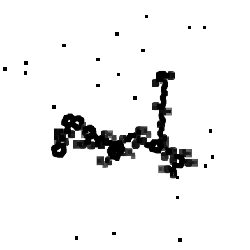 Cc1c(-c2ccc(N3CCc4cccc(C(=O)Nc5nc6ccccc6s5)c4C3)nc2C(=O)O)cnn1CC12CC3(C)CC(C)(C1)CC(OCCN(C)C(=O)OCc1ccc(NC(=O)O[C@@H]4O[C@H](C(=O)O)C[C@H](O)[C@H]4O)c(OCCOCCNC(=O)CCCCCN4C(=O)C=CC4=O)c1)(C3)C2